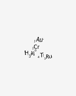 [AlH3].[Au].[Cr].[Ru].[Ti]